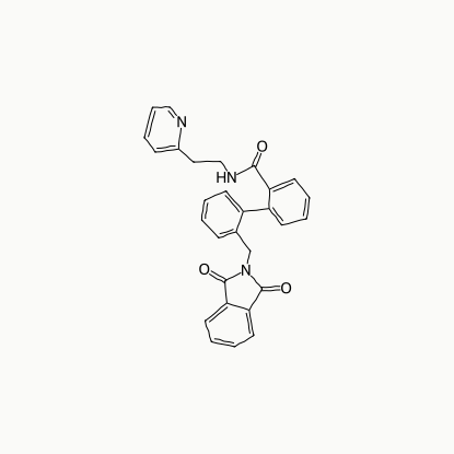 O=C(NCCc1ccccn1)c1ccccc1-c1ccccc1CN1C(=O)c2ccccc2C1=O